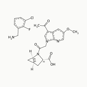 COc1cnc2c(c1)c(C(C)=O)cn2CC(=O)N1[C@@H]2C[C@@H]2C[C@H]1C(=O)O.NCc1cccc(Cl)c1F